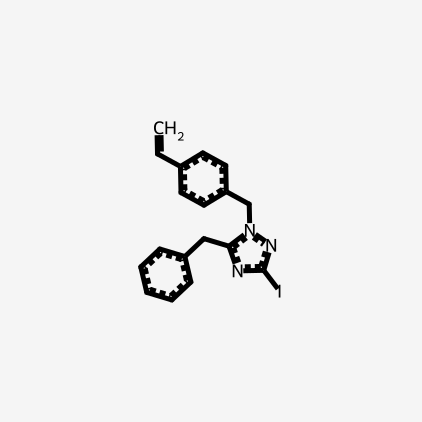 C=Cc1ccc(Cn2nc(I)nc2Cc2ccccc2)cc1